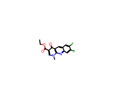 CCOC(=O)c1cn(C)c2nc3cc(F)c(F)cc3cc2c1=O